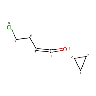 C1CC1.O=C=CCCCl